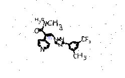 Cc1cc(-c2ncn(/C=C(/C(=O)N(C)C)c3ccncc3)n2)cc(C(F)(F)F)c1